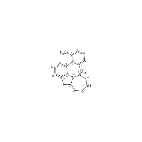 FC(F)(F)c1cccc(C(F)(F)F)c1-c1cccc2c1N1CCNCCC1C2